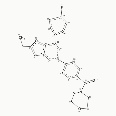 CCc1cc2cc(-c3ccc(C(=O)N4CCOCC4)cn3)cc(-c3ccc(F)cc3)c2o1